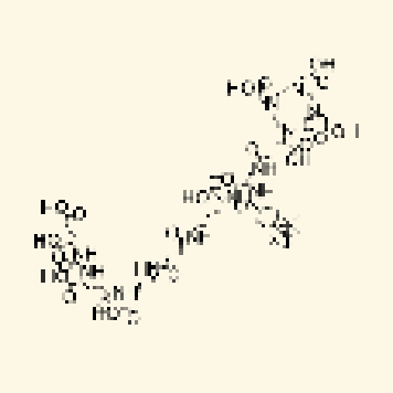 CC(C)(C)[Si](F)(c1ccc(C(=O)N[C@H](CNC(=O)CC[C@@H](C(=O)O)N2CCN(CC(=O)O)CCN(CC(=O)O)CCN(CC(=O)O)CC2)C(=O)N[C@H](CCCCNC(=O)CCC(=O)NCCC[C@@H](NC(=O)CC[C@H](NC(=O)N[C@@H](CCC(=O)O)C(=O)O)C(=O)O)C(=O)O)C(=O)O)cc1)C(C)(C)C